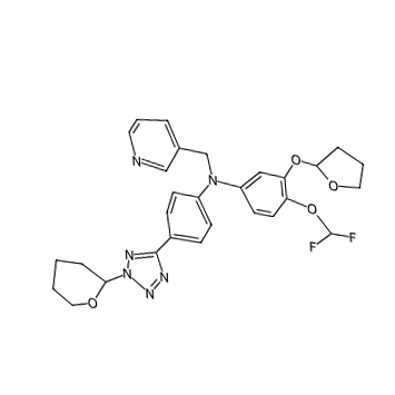 FC(F)Oc1ccc(N(Cc2cccnc2)c2ccc(-c3nnn(C4CCCCO4)n3)cc2)cc1OC1CCCO1